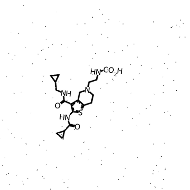 O=C(O)NCCN1CCc2sc(NC(=O)C3CC3)c(C(=O)NCC3CC3)c2C1